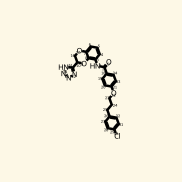 O=C(Nc1cccc2c1OC(c1nnn[nH]1)CO2)c1ccc(OCCCc2ccc(Cl)cc2)cc1